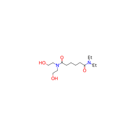 CCN(CC)C(=O)CCCCC(=O)N(CCO)CCO